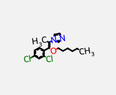 CCCCCCO/C(=C(/C)n1ccnc1)c1ccc(Cl)cc1Cl